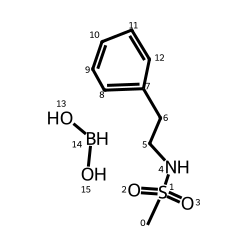 CS(=O)(=O)NCCc1ccccc1.OBO